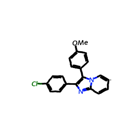 COc1ccc(-c2c(-c3ccc(Cl)cc3)nc3cc[c]cn23)cc1